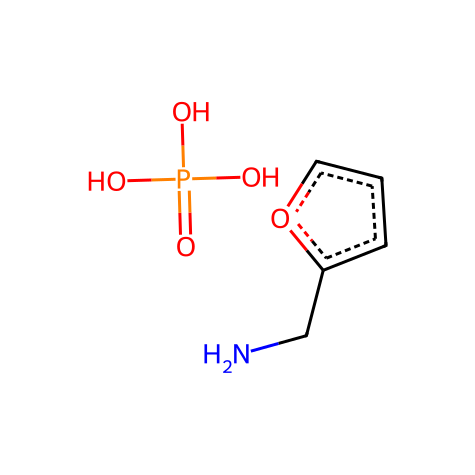 NCc1ccco1.O=P(O)(O)O